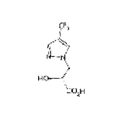 O=C(O)[C@H](O)Cn1cc(C(F)(F)F)cn1